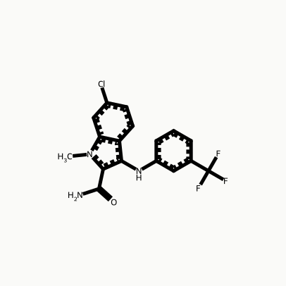 Cn1c(C(N)=O)c(Nc2cccc(C(F)(F)F)c2)c2ccc(Cl)cc21